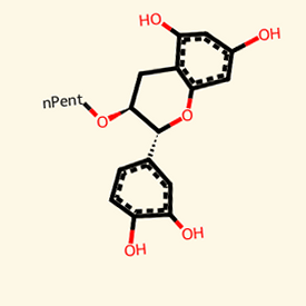 CCCCCO[C@H]1Cc2c(O)cc(O)cc2O[C@@H]1c1ccc(O)c(O)c1